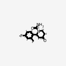 Cc1cc(F)ccc1C1CC(=O)CCN1C(N)=O